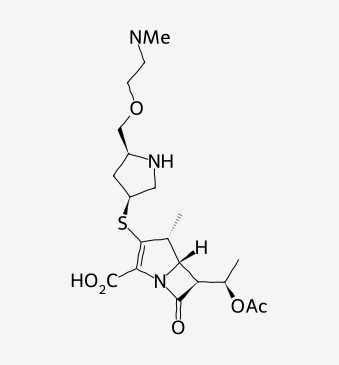 CNCCOC[C@@H]1C[C@H](SC2=C(C(=O)O)N3C(=O)[C@H]([C@@H](C)OC(C)=O)[C@H]3[C@H]2C)CN1